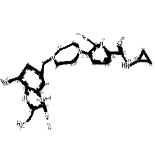 Cc1nc2c(Br)cc(CN3CCN(c4ccc(C(=O)NC5CC5)nc4F)CC3)cc2[nH]c1=O